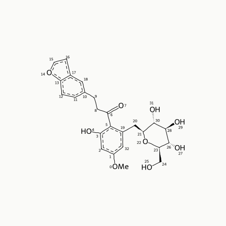 COc1cc(O)c(C(=O)CCc2ccc3occc3c2)c(C[C@@H]2O[C@H](CO)[C@@H](O)[C@H](O)[C@H]2O)c1